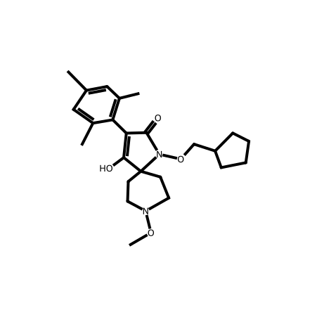 CON1CCC2(CC1)C(O)=C(c1c(C)cc(C)cc1C)C(=O)N2OCC1CCCC1